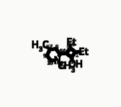 CCC1C(O)C(C2CC(C)CCN2C)[C@H]1CC